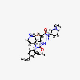 COc1ccc(N2C(=O)Nc3c(C(=O)NC4CCCN(C)C4)sc4nccc2c34)c(C)c1